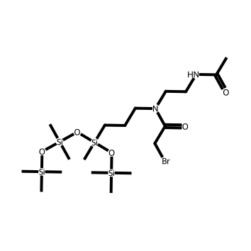 CC(=O)NCCN(CCC[Si](C)(O[Si](C)(C)C)O[Si](C)(C)O[Si](C)(C)C)C(=O)CBr